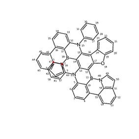 c1ccc(N2c3cccc4c3B(c3c2c2c(c5c3oc3ccccc35)N(c3ccccc3)c3cccc5c3B2n2ccc3cccc-5c32)n2ccc3cccc-4c32)cc1